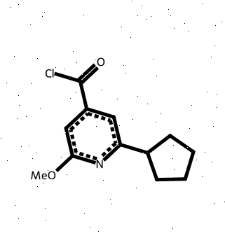 COc1cc(C(=O)Cl)cc(C2CCCC2)n1